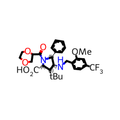 COc1cc(C(F)(F)F)ccc1CN[C@@H]1[C@@H](C(C)(C)C)[C@H](C(=O)O)N(C(=O)C2COCCO2)[C@@H]1c1ccccc1